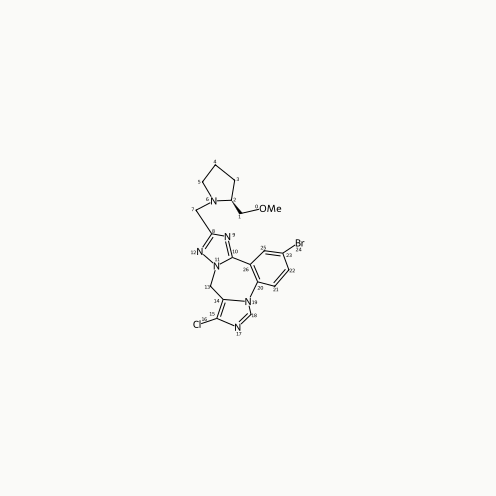 COC[C@@H]1CCCN1Cc1nc2n(n1)Cc1c(Cl)ncn1-c1ccc(Br)cc1-2